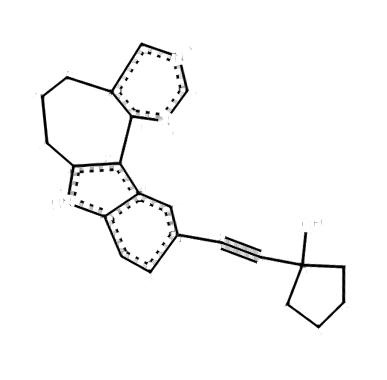 OC1(C#Cc2ccc3[nH]c4c(c3c2)-c2ncncc2CCC4)CCCC1